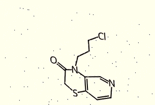 O=C1CSc2ccncc2N1CCCCl